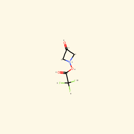 O=C1CN(OC(=O)C(F)(F)F)C1